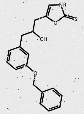 OC(Cc1cccc(OCc2ccccc2)c1)Cc1c[nH]c(=S)o1